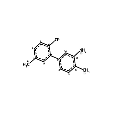 Cc1ccc(Cl)c(-c2ccc(C)c(N)c2)c1